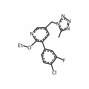 CCOc1ncc(Cn2nnnc2C)cc1-c1ccc(Cl)c(F)c1